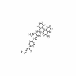 COC(=O)c1ccc(COc2nc(-c3cc(Cl)c4ncccc4c3)c(-c3ccccc3)nc2N)nc1